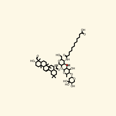 CC1O[C@@H](OC2C(O)[C@@H](NC(=O)CCCCCCCCCCC(=O)O)C(CO)O[C@H]2OC(=O)[C@]23CCC(C)(C)CC2C2=CCC4C5(C)CC[C@H](O)C(C)(C=O)C5CCC4(C)C2(C)CC3O)C(O)C(O)[C@H]1O[C@H]1CC(O)(O)[C@H](O)CO1